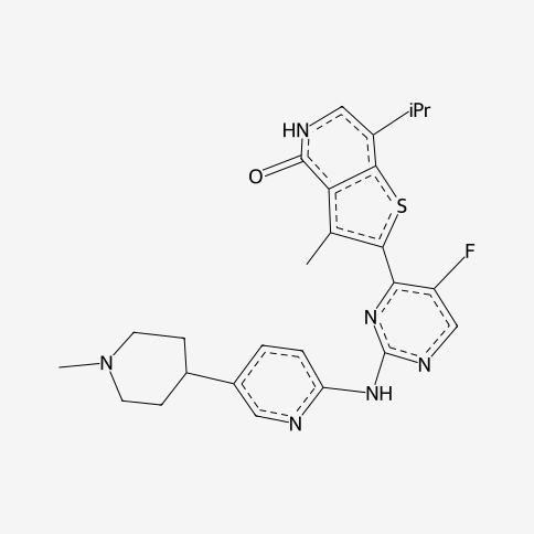 Cc1c(-c2nc(Nc3ccc(C4CCN(C)CC4)cn3)ncc2F)sc2c(C(C)C)c[nH]c(=O)c12